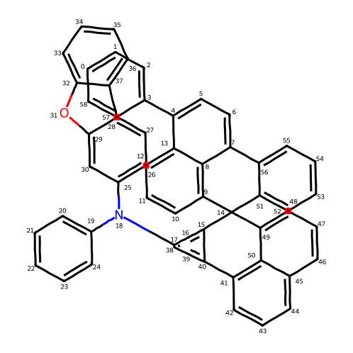 c1ccc(-c2ccc3c4c(cccc24)C2(c4cc(N(c5ccccc5)c5ccc6c(c5)oc5ccccc56)ccc4-c4cccc5cccc2c45)c2ccccc2-3)cc1